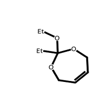 CCOC1(CC)OCC=CCO1